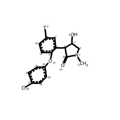 CN1CC(O)C(c2c[c]([Y])ccc2Oc2ccc(Cl)cc2)C1=O